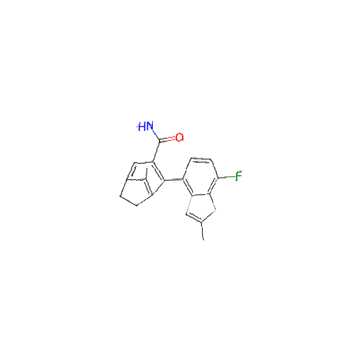 CC1=Cc2c(-c3c(C([NH])=O)cc4c(C)c3CC4)ccc(F)c2C1